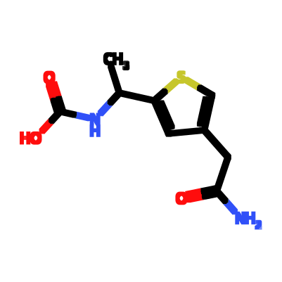 CC(NC(=O)O)c1cc(CC(N)=O)cs1